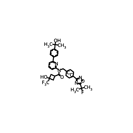 CC(C)(O)c1ccc(-c2cccc(N(CC34CCC(c5noc(C(C)(C)F)n5)(CC3)CC4)C(=O)C3CC(O)(C(F)(F)F)C3)n2)cc1